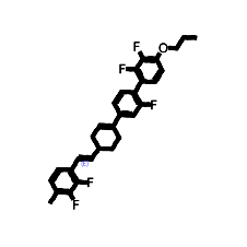 CCCOc1ccc(-c2ccc(C3=CCC(/C=C/c4ccc(C)c(F)c4F)CC3)cc2F)c(F)c1F